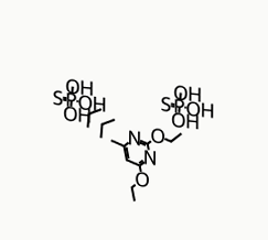 CCC.CCC.CCOc1cc(C)nc(OCC)n1.OP(O)(O)=S.OP(O)(O)=S